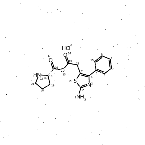 Cl.Nc1nc(-c2ccccc2)c(CC(=O)OC(=O)[C@@H]2CCCN2)s1